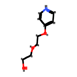 OCCOCCOc1ccncc1